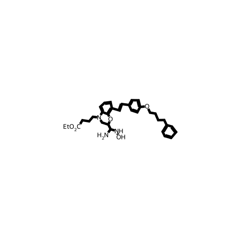 CCOC(=O)CCCN1CC(C(N)NO)Oc2c(C=Cc3ccc(OCCCCc4ccccc4)cc3)cccc21